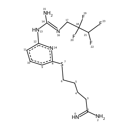 N=C(N)CCCCSc1cccc(NC(N)=NCC(F)(F)C(F)F)n1